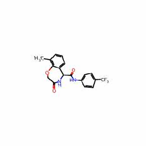 Cc1cccc2c1OCC(=O)NC2C(=O)Nc1ccc(C(F)(F)F)cc1